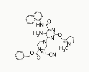 CN1CCC[C@H]1COc1nc(C(=O)Nc2cccc3ccccc23)c(N)c(N2CCN(C(=O)OCc3ccccc3)[C@@H](CC#N)C2)n1